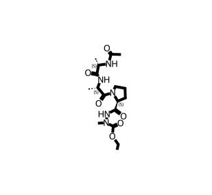 CCOC(=O)N(C)NC(=O)[C@@H]1CCCN1C(=O)[C@H](C)NC(=O)[C@H](C)NC(C)=O